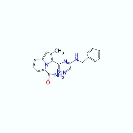 Cc1cc2cccc(C(N)=O)n2c1-c1nncc(NCc2ccccc2)n1